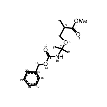 COC(=O)C(C)COC(C)(C)NC(=O)OCc1ccccc1